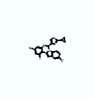 Fc1cc(Br)cc2c1-c1cc3cc(Br)ccc3n1C(c1csc(C3CC3)n1)O2